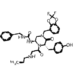 C=CCNCC(=O)N1[C@@H](NC(=O)NCc2ccccc2)CN(Cc2cccc3c2OC(F)(F)O3)C(=O)[C@@H]1Cc1ccc(O)cc1